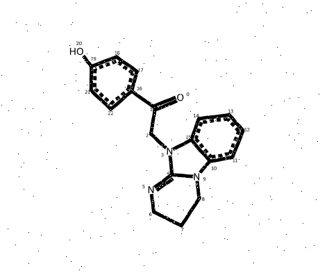 O=C(CN1C2=NCCCN2c2ccccc21)c1ccc(O)cc1